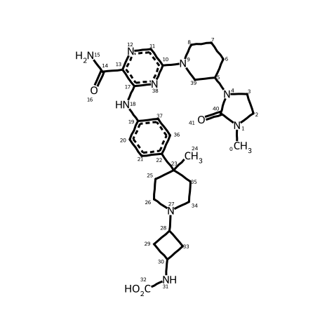 CN1CCN(C2CCCN(c3cnc(C(N)=O)c(Nc4ccc(C5(C)CCN(C6CC(NC(=O)O)C6)CC5)cc4)n3)C2)C1=O